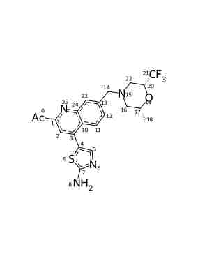 CC(=O)c1cc(-c2cnc(N)s2)c2ccc(CN3C[C@@H](C)O[C@@H](C(F)(F)F)C3)cc2n1